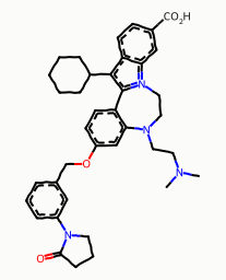 CN(C)CCN1CCn2c(c(C3CCCCC3)c3ccc(C(=O)O)cc32)-c2ccc(OCc3cccc(N4CCCC4=O)c3)cc21